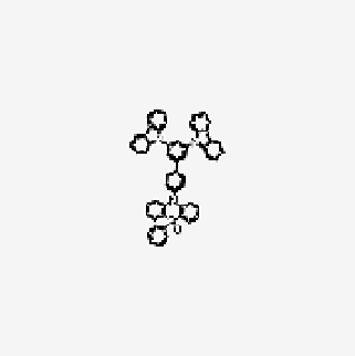 O=P1(c2ccccc2)c2ccccc2N(c2ccc(-c3cc(-n4c5ccccc5c5ccccc54)cc(-n4c5ccccc5c5ccccc54)c3)cc2)c2ccccc21